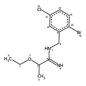 CCOC(C)C(=N)NCc1cc(Cl)ccc1Br